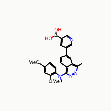 COc1ccc(N(C)c2nnc(C)c3cc(-c4cncc(B(O)O)c4)ccc23)c(OC)c1